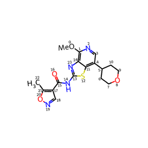 COc1ncc(C2CCOCC2)c2sc(NC(=O)c3cnoc3C)nc12